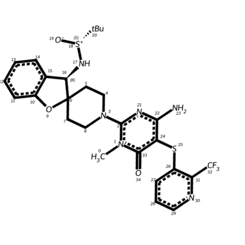 Cn1c(N2CCC3(CC2)Oc2ccccc2[C@H]3N[S@+]([O-])C(C)(C)C)nc(N)c(Sc2cccnc2C(F)(F)F)c1=O